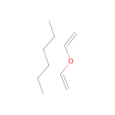 C=COC=C.CCCCCC